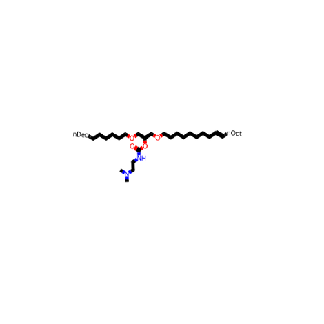 CCCCCCCCC=CCCCCCCCCOCC(COCCCCCCCCCCCCCCCC)OC(=O)NCCN(C)C